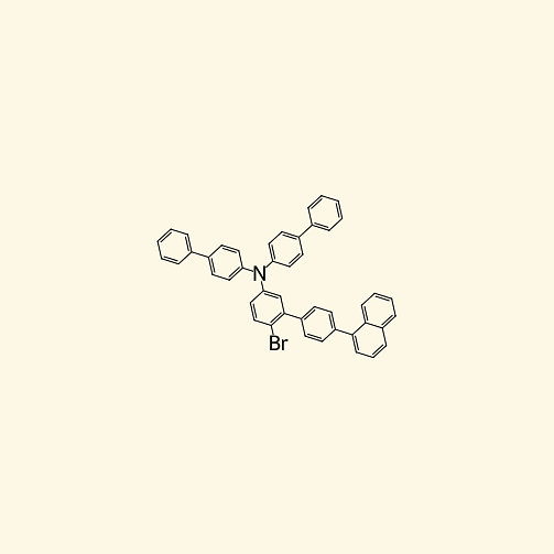 Brc1ccc(N(c2ccc(-c3ccccc3)cc2)c2ccc(-c3ccccc3)cc2)cc1-c1ccc(-c2cccc3ccccc23)cc1